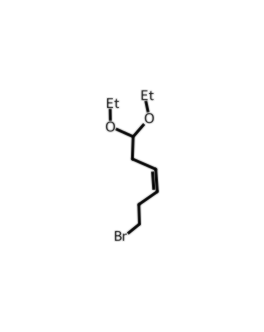 CCOC(C/C=C\CCBr)OCC